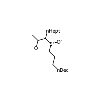 CCCCCCCCCCCCC[S+]([O-])C(CCCCCCC)C(C)[O]